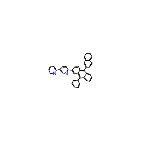 c1ccc(-c2c3ccccc3c(-c3ccc4ccccc4c3)c3ccc(-c4ccc(-c5ccccn5)cn4)cc23)cc1